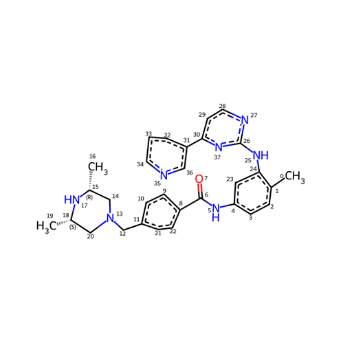 Cc1ccc(NC(=O)c2ccc(CN3C[C@@H](C)N[C@@H](C)C3)cc2)cc1Nc1nccc(-c2cccnc2)n1